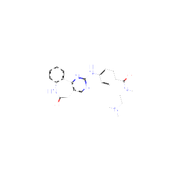 CN(C)CCN(C)C(=O)C1C=CC(Nc2ncc3c(n2)-c2ccccc2NC(=O)C3)=CC1